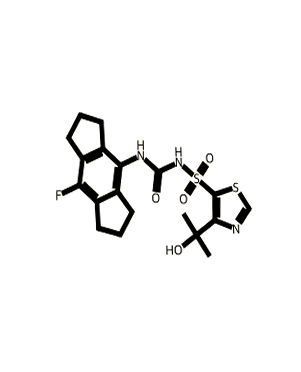 CC(C)(O)c1ncsc1S(=O)(=O)NC(=O)Nc1c2c(c(F)c3c1CCC3)CCC2